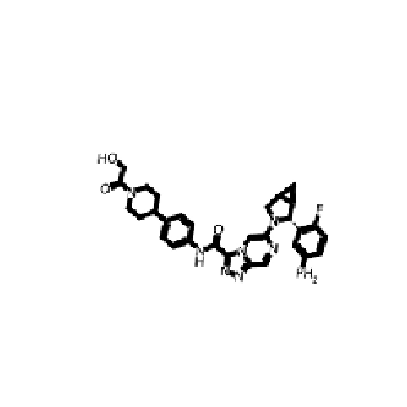 O=C(Nc1ccc(C2CCN(C(=O)CO)CC2)cc1)c1nnc2cnc(N3CC4CC4[C@@H]3c3cc(P)ccc3F)cn12